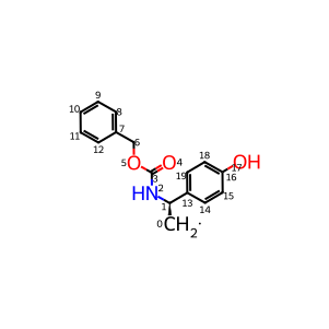 [CH2][C@@H](NC(=O)OCc1ccccc1)c1ccc(O)cc1